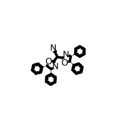 N#CC(C1=N[C@H](c2ccccc2)[C@H](c2ccccc2)O1)C1=N[C@H](c2ccccc2)[C@H](c2ccccc2)O1